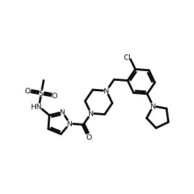 CS(=O)(=O)Nc1ccn(C(=O)N2CCN(Cc3cc(N4CCCC4)ccc3Cl)CC2)n1